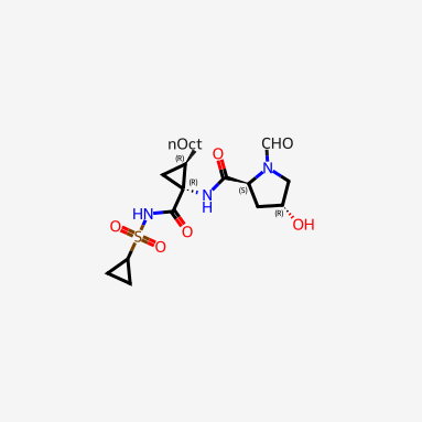 CCCCCCCC[C@@H]1C[C@]1(NC(=O)[C@@H]1C[C@@H](O)CN1C=O)C(=O)NS(=O)(=O)C1CC1